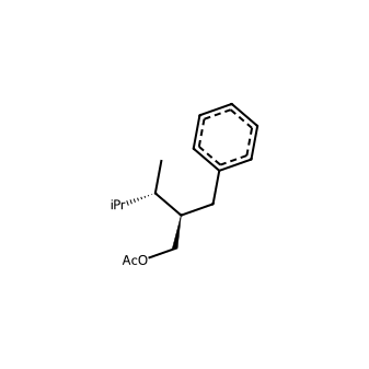 CC(=O)OC[C@H](Cc1ccccc1)[C@@H](C)C(C)C